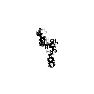 Cc1ncc(C(=O)NCCN2CCC3(CCOCC3)CC2)cc1NC(=O)c1nnc2cc(-c3cnn(C)c3)ccn12